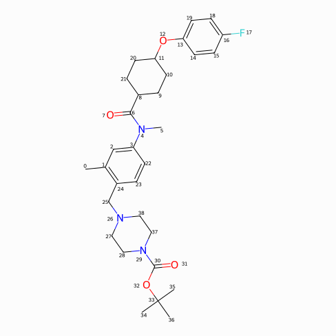 Cc1cc(N(C)C(=O)C2CCC(Oc3ccc(F)cc3)CC2)ccc1CN1CCN(C(=O)OC(C)(C)C)CC1